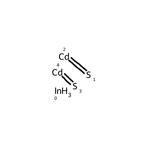 [InH3].[S]=[Cd].[S]=[Cd]